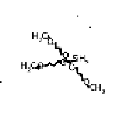 C=COCCCCOC([SiH3])=C(OCCCCOC=C)OCCCCOC=C